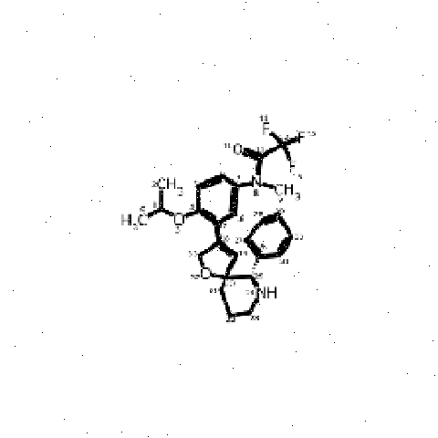 CC(C)Oc1ccc(N(C)C(=O)C(F)(F)F)cc1C1=C[C@@]2(CCCN[C@H]2c2ccccc2)OC1